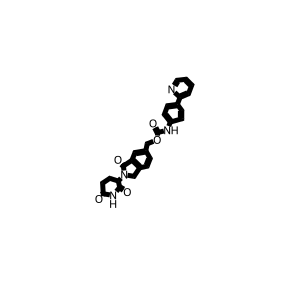 O=C1CCC(N2Cc3ccc(COC(=O)Nc4ccc(-c5ccccn5)cc4)cc3C2=O)C(=O)N1